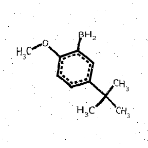 Bc1cc(C(C)(C)C)ccc1OC